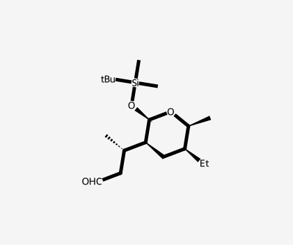 CC[C@H]1C[C@@H]([C@@H](C)CC=O)[C@@H](O[Si](C)(C)C(C)(C)C)O[C@H]1C